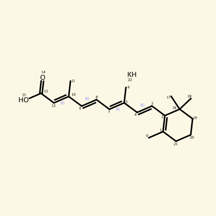 CC1=C(/C=C/C(C)=C/C=C/C(C)=C/C(=O)O)C(C)(C)CCC1.[KH]